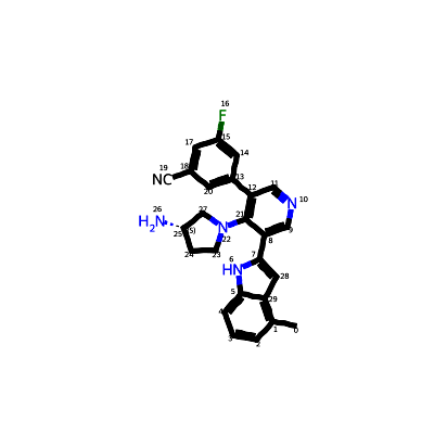 Cc1cccc2[nH]c(-c3cncc(-c4cc(F)cc(C#N)c4)c3N3CC[C@H](N)C3)cc12